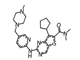 CN1CCN(Cc2ccc(Nc3ncc4sc(C(=O)N(C)C)c(C5CCCC5)c4n3)nc2)CC1